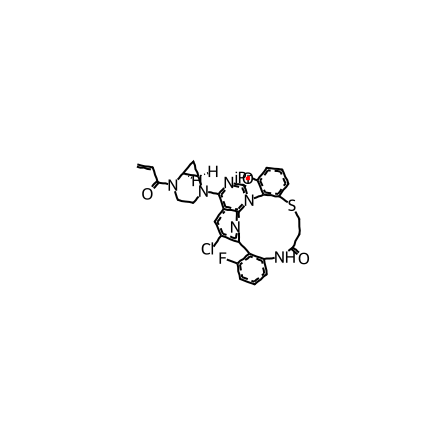 C=CC(=O)N1CCN(c2nc(=O)n3c4nc(c(Cl)cc24)-c2c(F)cccc2NC(=O)CCSc2cccc(C(C)C)c2-3)[C@@H]2C[C@@H]21